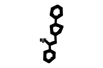 NC(=Cc1ccc(-c2ccccc2)cc1)c1ccccc1